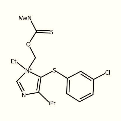 CC[N+]1(COC(=S)NC)C=NC(C(C)C)=C1Sc1cccc(Cl)c1